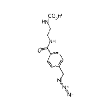 [N-]=[N+]=NCc1ccc(C(=O)NCCNC(=O)O)cc1